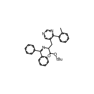 Cc1ccccc1-c1ncncc1CC(N=C(c1ccccc1)c1ccccc1)C(=O)OC(C)(C)C